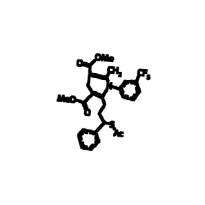 COC(=O)C1=C(C)N(c2cccc(C(F)(F)F)c2)C(CCC(SC(C)=O)c2ccccc2)=C(C(=O)OC)C1